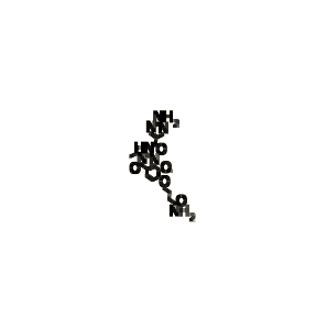 COc1c(OCCCC(N)=O)ccc2c(=O)n(C(C)C)c(NC(=O)c3cnc(N)nc3)nc12